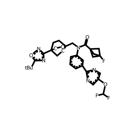 CC(C)(C)c1nc(C23CCC(CN(C(=O)C45CC(F)(C4)C5)c4cccc(-c5ncc(OC(F)F)cn5)c4)(CC2)CC3)no1